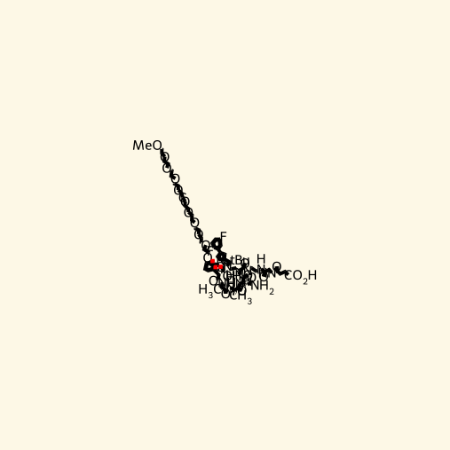 COCCOCCOCCOCCOCCOCCOCCOCCOCCOCCOCCOCCC(=O)N[C@@H](C)C(=O)N[C@H](C)C(=O)N[C@@H](CC(N)=O)C(=O)N[C@@H](CCN(C(=O)CO)[C@@H](c1cc(-c2cc(F)ccc2F)cn1Cc1ccccc1)C(C)(C)C)C(=O)NCCNC(=O)CNC(=O)CCC(=O)O